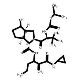 C=C(C(=O)NC1CC1)C(CCC)NC(=O)[C@@H]1[C@H]2CCC(O)[C@H]2CN1C(=O)[C@@H](NC(=O)OC(C)C)C(C)(C)C